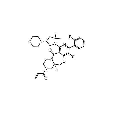 C=CC(=O)N1CCN2C(=O)c3c(N4C[C@H](N5CCOCC5)CC4(C)C)nc(-c4ccccc4F)c(Cl)c3OC[C@H]2C1